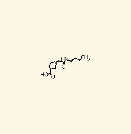 CCCCNC(=O)CN1CCC(C(=O)O)C1